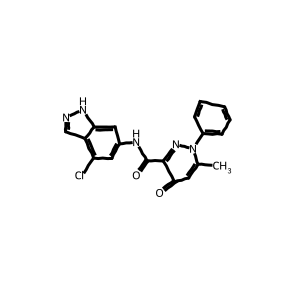 Cc1cc(=O)c(C(=O)Nc2cc(Cl)c3cn[nH]c3c2)nn1-c1ccccc1